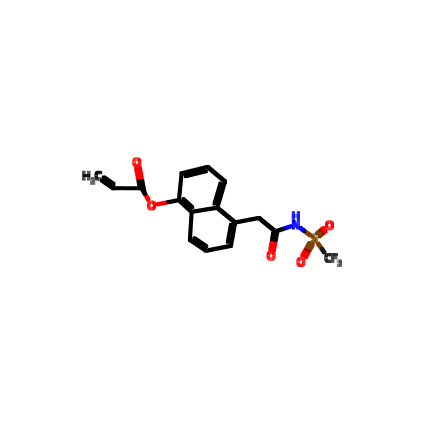 C=CC(=O)Oc1cccc2c(CC(=O)NS(=O)(=O)C(F)(F)F)cccc12